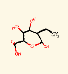 CCC1C(O)OC(C(=O)O)C(O)C1O